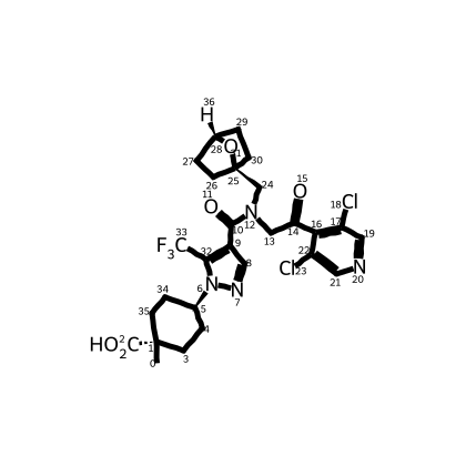 C[C@]1(C(=O)O)CC[C@H](n2ncc(C(=O)N(CC(=O)c3c(Cl)cncc3Cl)C[C@]34CC[C@H](CC3)O4)c2C(F)(F)F)CC1